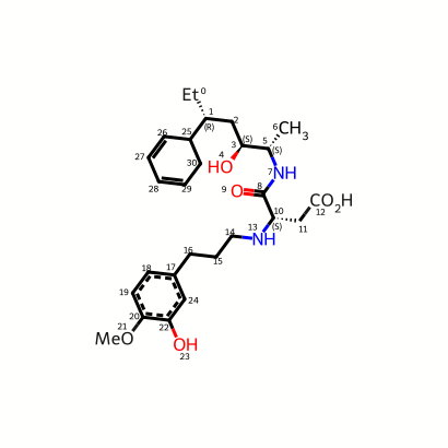 CC[C@H](C[C@H](O)[C@H](C)NC(=O)[C@H](CC(=O)O)NCCCc1ccc(OC)c(O)c1)C1C=CC=CC1